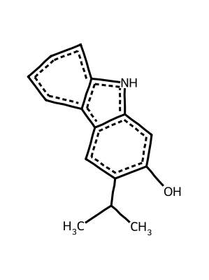 CC(C)c1cc2c(cc1O)[nH]c1ccccc12